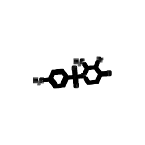 Cc1ccc(S(=O)(=O)N2CCC(=O)C(Br)C2C)cc1